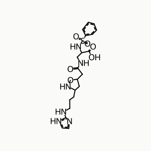 O=C(CC1CC(CCCNc2ncc[nH]2)NO1)NCC(NS(=O)(=O)c1ccccc1)C(=O)O